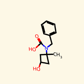 CC1(N(Cc2ccccc2)C(=O)O)CC(O)C1